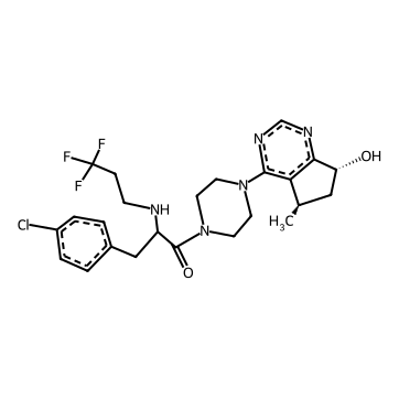 C[C@@H]1C[C@@H](O)c2ncnc(N3CCN(C(=O)C(Cc4ccc(Cl)cc4)NCCC(F)(F)F)CC3)c21